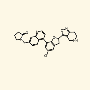 O=C1CCCN1Cc1ccc2c(-c3cc(Cl)cc4c3OC(c3onc5c3CNCC5)C4)ccnc2c1